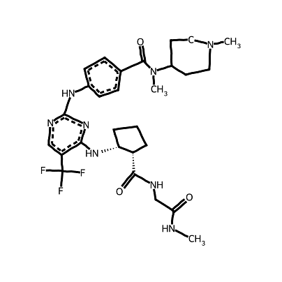 CNC(=O)CNC(=O)[C@H]1CCC[C@H]1Nc1nc(Nc2ccc(C(=O)N(C)C3CCN(C)CC3)cc2)ncc1C(F)(F)F